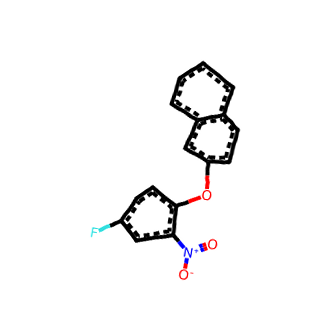 O=[N+]([O-])c1cc(F)ccc1Oc1ccc2ccccc2c1